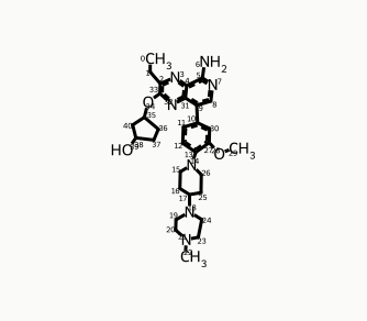 CCc1nc2c(N)ncc(-c3ccc(N4CCC(N5CCN(C)CC5)CC4)c(OC)c3)c2nc1OC1CCC(O)C1